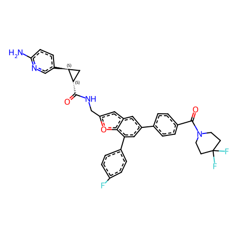 Nc1ccc([C@H]2C[C@@H]2C(=O)NCc2cc3cc(-c4ccc(C(=O)N5CCC(F)(F)CC5)cc4)cc(-c4ccc(F)cc4)c3o2)cn1